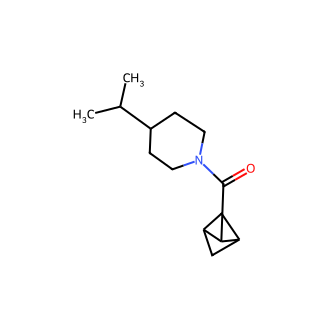 CC(C)C1CCN(C(=O)C2C3CC2C3)CC1